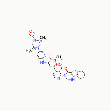 C[C@@H]1CN(c2ccc(Nc3cc(-c4ccnc(N5CNC6=C(CC7=C6CCCC7)C5=O)c4CO)cn(C)c3=O)nc2)[C@@H](C)CN1C1COC1